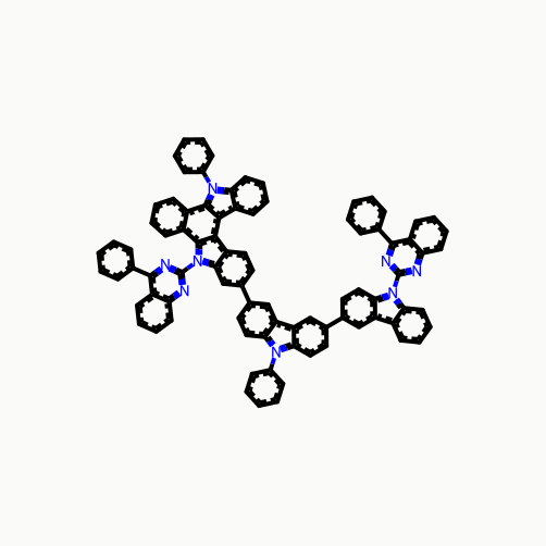 c1ccc(-c2nc(-n3c4ccccc4c4cc(-c5ccc6c(c5)c5cc(-c7ccc8c9c%10c%11ccccc%11n(-c%11ccccc%11)c%10c%10ccccc%10c9n(-c9nc(-c%10ccccc%10)c%10ccccc%10n9)c8c7)ccc5n6-c5ccccc5)ccc43)nc3ccccc23)cc1